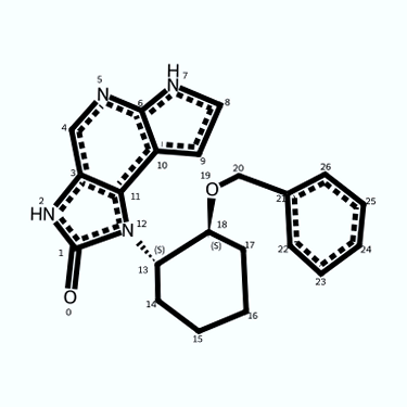 O=c1[nH]c2cnc3[nH]ccc3c2n1[C@H]1CCCC[C@@H]1OCc1ccccc1